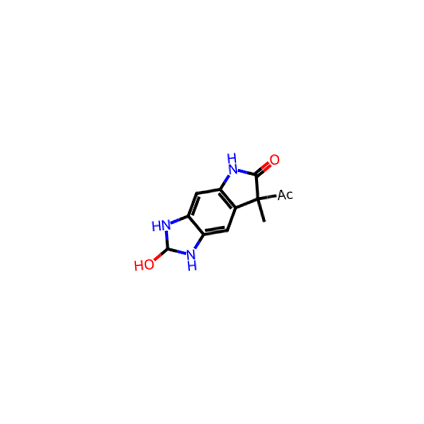 CC(=O)C1(C)C(=O)Nc2cc3c(cc21)NC(O)N3